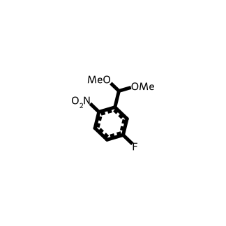 COC(OC)c1cc(F)ccc1[N+](=O)[O-]